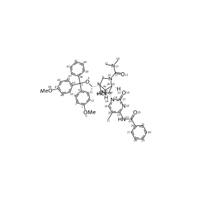 COc1ccc(C(OC[C@@]23CN(C(=O)N(C)C)[C@@H]([C@H](n4cc(C)c(NC(=O)c5ccccc5)nc4=O)O2)[C@@H]3O)(c2ccccc2)c2ccc(OC)cc2)cc1